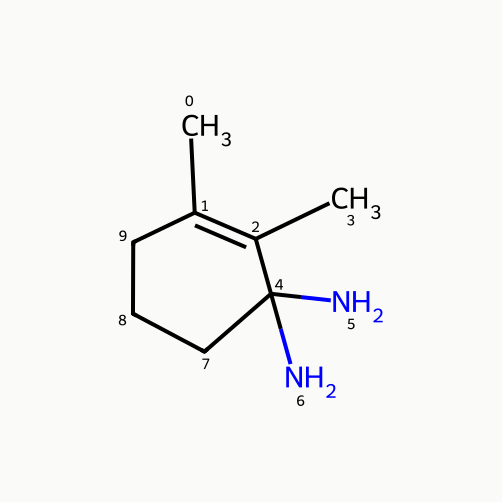 CC1=C(C)C(N)(N)CCC1